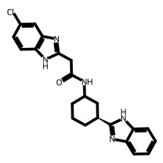 O=C(Cc1nc2cc(Cl)ccc2[nH]1)NC1CCC[C@H](c2nc3ccccc3[nH]2)C1